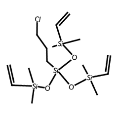 C=C[Si](C)(C)O[Si](CCCCl)(O[Si](C)(C)C=C)O[Si](C)(C)C=C